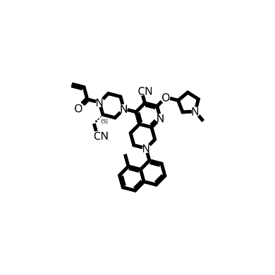 C=CC(=O)N1CCN(c2c(C#N)c(OC3CCN(C)C3)nc3c2CCN(c2cccc4cccc(C)c24)C3)C[C@@H]1CC#N